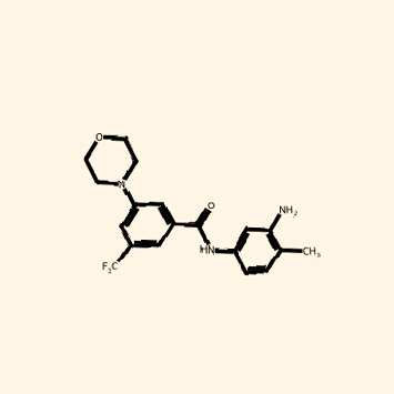 Cc1ccc(NC(=O)c2cc(N3CCOCC3)cc(C(F)(F)F)c2)cc1N